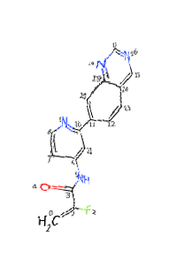 C=C(F)C(=O)Nc1ccnc(-c2ccc3cncnc3c2)c1